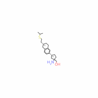 CC(C)SCC[C@H]1CCc2cc([C@H]3CC[C@](N)(CO)C3)ccc2C1